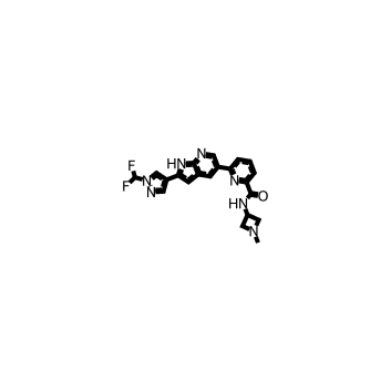 CN1CC(NC(=O)c2cccc(-c3cnc4[nH]c(-c5cnn(C(F)F)c5)cc4c3)n2)C1